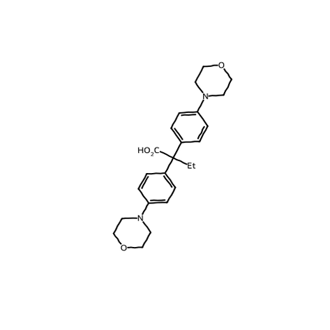 CCC(C(=O)O)(c1ccc(N2CCOCC2)cc1)c1ccc(N2CCOCC2)cc1